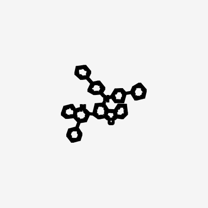 c1ccc(-c2ccc(N(c3ccc(-c4ccccc4)cc3)c3cc(-c4cc(-c5ccccc5)c5ccccc5n4)cc4oc5ccccc5c34)cc2)cc1